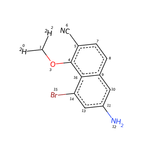 [2H]C([2H])Oc1c(C#N)ccc2cc(N)cc(Br)c12